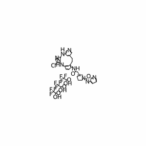 O=C(C[C@@H]1CCCN(c2nc3cccnc3o2)C1)Nc1ccc2cc1CCc1cncc(c1)Nc1ncc(Cl)c(n1)N2.O=C(O)C(F)(F)F.O=C(O)C(F)(F)F.O=C(O)C(F)(F)F